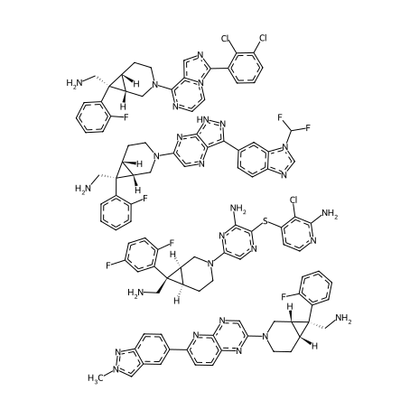 Cn1cc2cc(-c3ccc4nc(N5CC[C@@H]6[C@H](C5)[C@@]6(CN)c5ccccc5F)cnc4n3)ccc2n1.NC[C@]1(c2cc(F)ccc2F)[C@@H]2CCN(c3cnc(Sc4ccnc(N)c4Cl)c(N)n3)C[C@@H]21.NC[C@]1(c2ccccc2F)[C@@H]2CCN(c3cnc4c(-c5ccc6ncn(C(F)F)c6c5)n[nH]c4n3)C[C@@H]21.NC[C@]1(c2ccccc2F)[C@@H]2CCN(c3nccn4c(-c5cccc(Cl)c5Cl)ncc34)C[C@@H]21